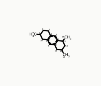 CC1CCc2cc3c(cc2C1)CC(C)CC3C